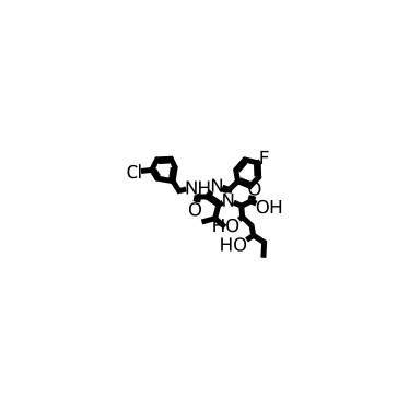 CCC(O)CC(O)C(C(=O)O)n1c(-c2ccc(F)cc2)nc(C(=O)NCc2cccc(Cl)c2)c1C(C)C